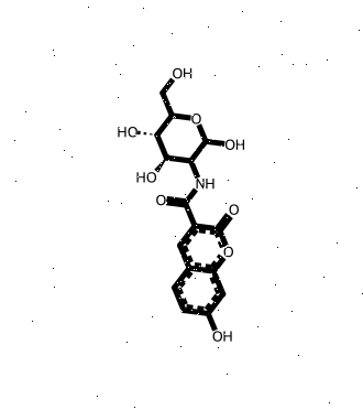 O=C(NC1C(O)OC(CO)[C@@H](O)[C@@H]1O)c1cc2ccc(O)cc2oc1=O